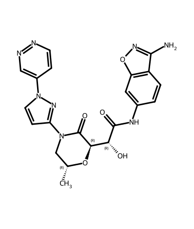 C[C@@H]1CN(c2ccn(-c3ccnnc3)n2)C(=O)[C@@H]([C@@H](O)C(=O)Nc2ccc3c(N)noc3c2)O1